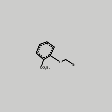 CCOC(=O)c1ccccc1OCBr